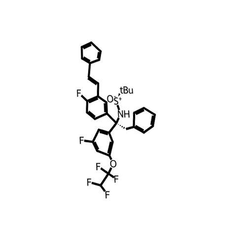 CC(C)(C)[S@@+]([O-])N[C@@](Cc1ccccc1)(c1cc(F)cc(OC(F)(F)C(F)F)c1)c1ccc(F)c(C=Cc2ccccc2)c1